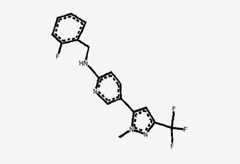 Cn1nc(C(F)(F)F)cc1-c1ccc(NCc2ccccc2F)nc1